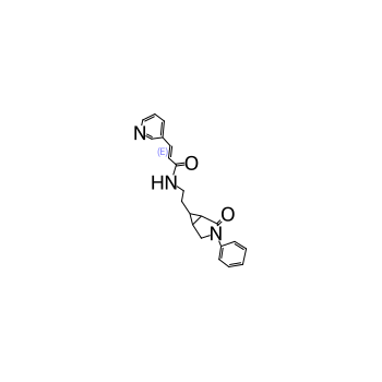 O=C(/C=C/c1cccnc1)NCCC1C2CN(c3ccccc3)C(=O)C12